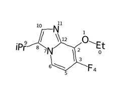 CCOc1c(F)ccn2c(C(C)C)cnc12